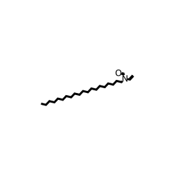 C=CN(C=O)CCCCCCCCCCCCCCCCCCCC